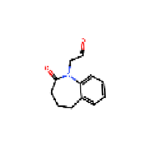 O=CCN1C(=O)CC[C]c2ccccc21